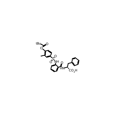 Cc1cc(S(=O)(=O)Nc2ccccc2C(=O)N[C@@H](Cc2ccccc2)C(=O)O)ccc1OC(=O)C(C)(C)C